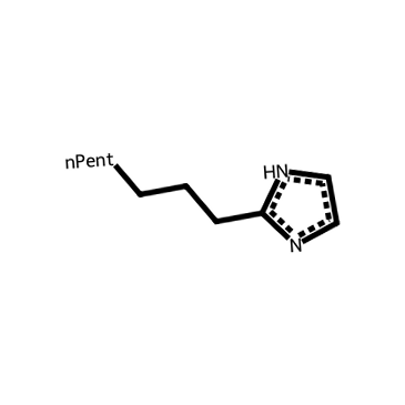 [CH2]CCCCCCCc1ncc[nH]1